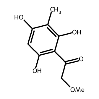 COCC(=O)c1c(O)cc(O)c(C)c1O